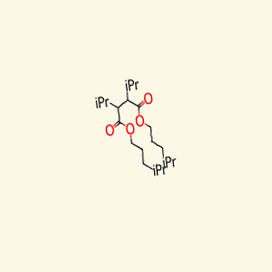 CC(C)CCCOC(=O)C(C(C)C)C(C(=O)OCCCC(C)C)C(C)C